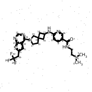 CN(C)CCNC(=O)c1ccc(NC2CC3(CCN(c4ncnc5sc(CC(F)(F)F)cc45)C3)C2)nc1